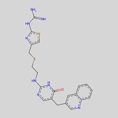 N=C(N)Nc1nc(CSCCNc2ncc(Cc3cnc4ccccc4c3)c(=O)[nH]2)cs1